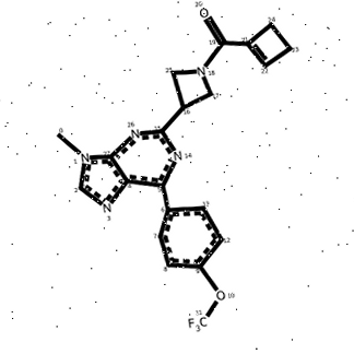 Cn1cnc2c(-c3ccc(OC(F)(F)F)cc3)nc(C3CN(C(=O)C4=CCC4)C3)nc21